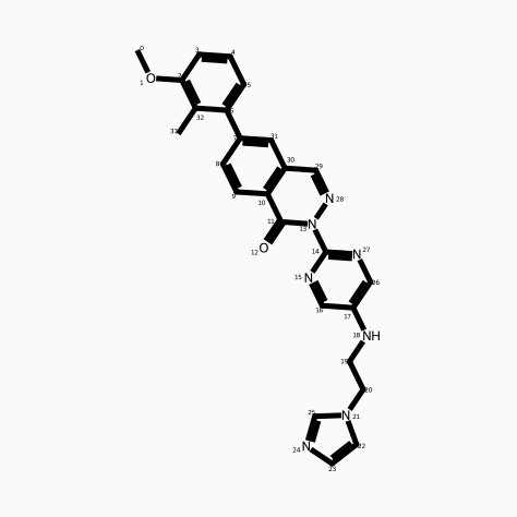 COc1cccc(-c2ccc3c(=O)n(-c4ncc(NCCn5ccnc5)cn4)ncc3c2)c1C